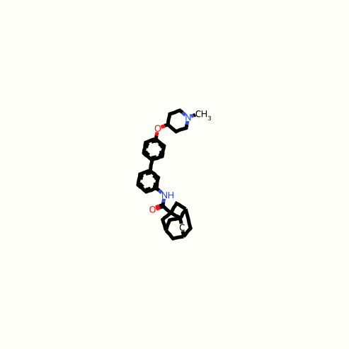 CN1CCC(Oc2ccc(-c3cccc(NC(=O)C45CC6CC7CC(C4)C5(C7)C6)c3)cc2)CC1